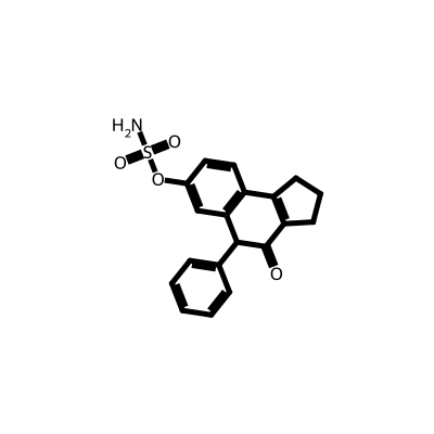 NS(=O)(=O)Oc1ccc2c(c1)C(c1ccccc1)C(=O)C1=C2CCC1